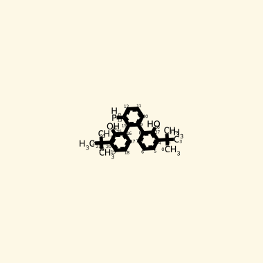 CC(C)(C)c1cccc(-c2cccc(P)c2-c2cccc(C(C)(C)C)c2O)c1O